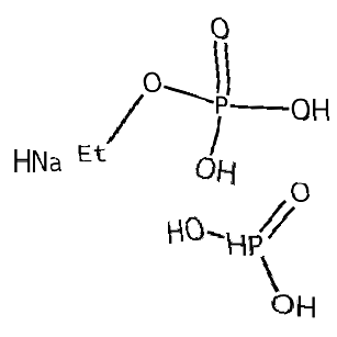 CCOP(=O)(O)O.O=[PH](O)O.[NaH]